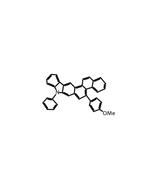 COc1ccc(-c2cc3cc4c(cc3c3ccc5ccccc5c23)c2ccccc2n4-c2ccccc2)cc1